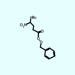 CCCCC(CCC(=O)OOCc1ccccc1)[N+](=O)[O-]